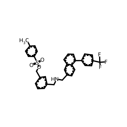 Cc1ccc(S(=O)(=O)OCc2cccc(CNCc3ccc4c(-c5ccc(C(F)(F)F)cc5)cccc4c3)c2)cc1